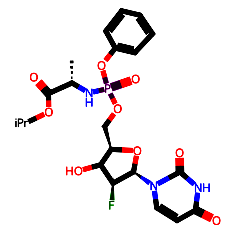 CC(C)OC(=O)[C@H](C)NP(=O)(OC[C@H]1O[C@@H](n2ccc(=O)[nH]c2=O)[C@@H](F)C1O)Oc1ccccc1